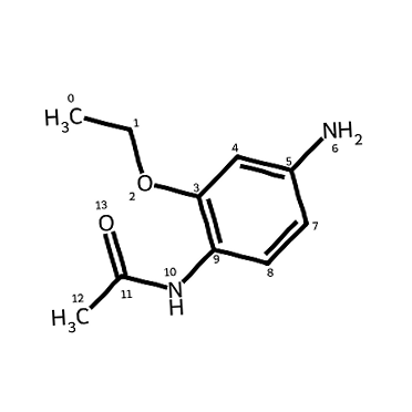 CCOc1cc(N)ccc1NC(C)=O